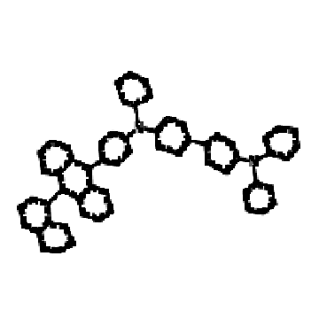 c1ccc(N(c2ccccc2)c2ccc(-c3ccc(N(c4ccccc4)c4ccc(-c5c6ccccc6c(-c6cccc7ccccc67)c6ccccc56)cc4)cc3)cc2)cc1